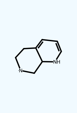 C1=CNC2C[N]CCC2=C1